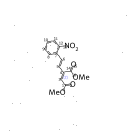 COC(=O)/C=C(/C=Cc1ccccc1[N+](=O)[O-])C(=O)OC